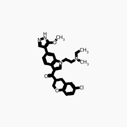 CCN(C)CCn1cc(C(=O)C2COc3ccc(Cl)cc3C2)c2ccc(-c3cn[nH]c3OC)cc21